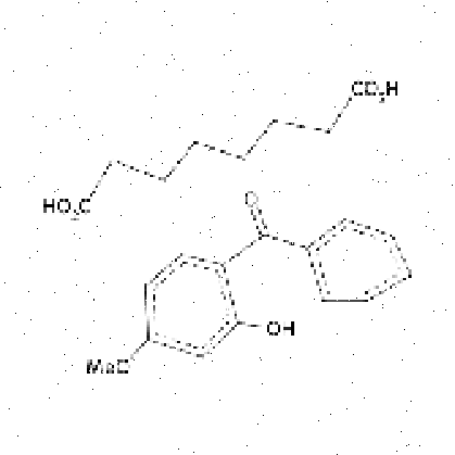 COc1ccc(C(=O)c2ccccc2)c(O)c1.O=C(O)CCCCCCC(=O)O